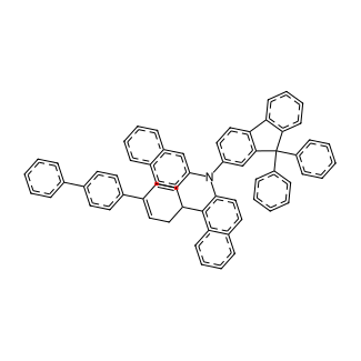 C1=CC(c2c(N(c3ccc4c(c3)C(c3ccccc3)(c3ccccc3)c3ccccc3-4)c3ccc4ccccc4c3)ccc3ccccc23)CC=C1c1ccc(-c2ccccc2)cc1